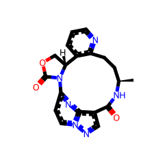 C[C@@H]1CCc2ncccc2[C@H]2COC(=O)N2c2ccn3ncc(c3n2)C(=O)N1